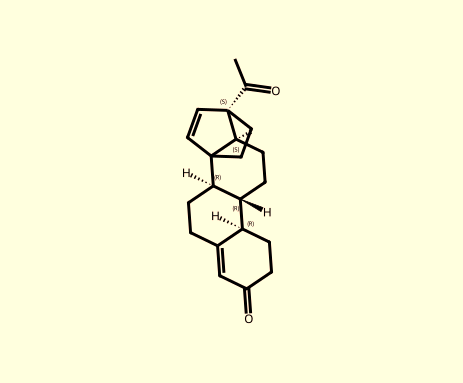 CC(=O)[C@]12C=CC3(CC1)[C@@H]1CCC4=CC(=O)CC[C@@H]4[C@H]1CC[C@@]32C